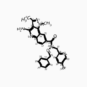 Cc1nn(C)c2c1c(N)nc1ccc(C(=O)N(Cc3ccc(Br)cn3)OCc3ccccc3)cc12